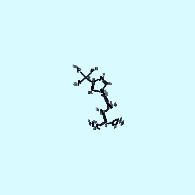 CC(C)=NN=S1C=NC(C(F)(F)F)=C1